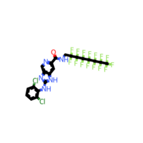 O=C(NCC(F)(F)C(F)(F)C(F)(F)C(F)(F)C(F)(F)C(F)(F)C(F)(F)F)c1cc2[nH]c(Nc3c(Cl)cccc3Cl)nc2cn1